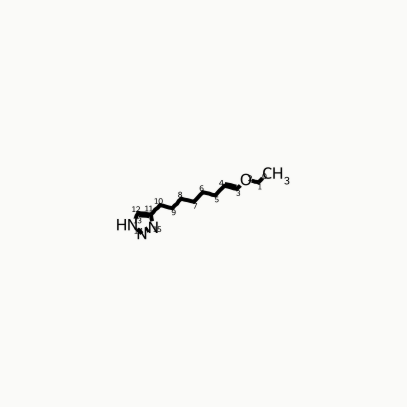 CCOC=CCCCCCCc1c[nH]nn1